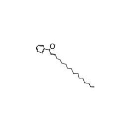 C=CCCCCCCCCCCCCC=CC(=O)c1ccccc1